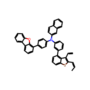 C=Cc1c(/C=C\C)sc2cccc(-c3cccc(N(c4ccc(-c5cccc6c5oc5ccccc56)cc4)c4ccc5ccccc5c4)c3)c12